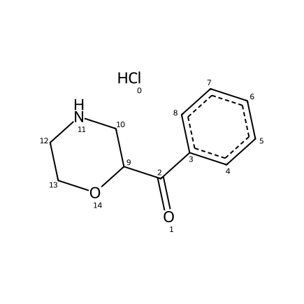 Cl.O=C(c1ccccc1)C1CNCCO1